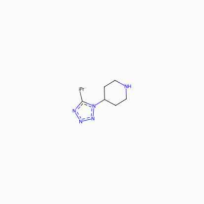 CC(C)c1nnnn1C1CCNCC1